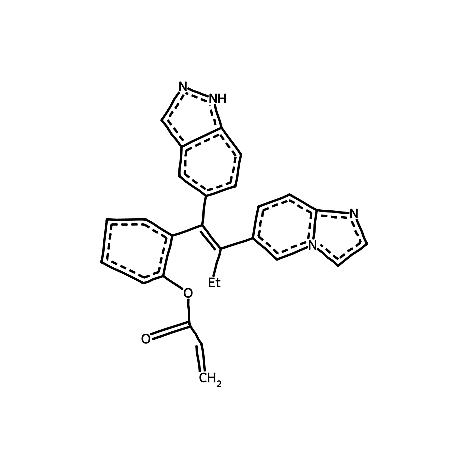 C=CC(=O)Oc1ccccc1/C(=C(\CC)c1ccc2nccn2c1)c1ccc2[nH]ncc2c1